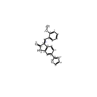 CCOc1ccccc1/C=C1/C(=O)Nc2cc(-c3ncco3)ccc21